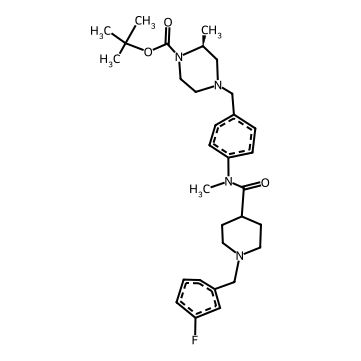 C[C@H]1CN(Cc2ccc(N(C)C(=O)C3CCN(Cc4cccc(F)c4)CC3)cc2)CCN1C(=O)OC(C)(C)C